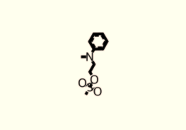 CN(CCOS(C)(=O)=O)c1ccccc1